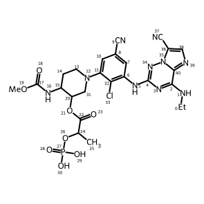 CCNc1nc(Nc2cc(C#N)cc(N3CCC(NC(=O)OC)C(OC(=O)C(C)OP(=O)(O)O)C3)c2Cl)nn2c(C#N)cnc12